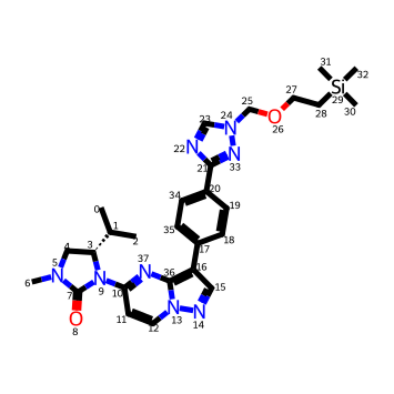 CC(C)[C@H]1CN(C)C(=O)N1c1ccn2ncc(-c3ccc(-c4ncn(COCC[Si](C)(C)C)n4)cc3)c2n1